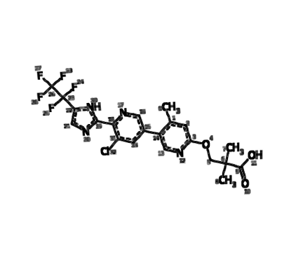 Cc1cc(OCC(C)(C)C(=O)O)ncc1-c1cnc(-c2ncc(C(F)(F)C(F)(F)F)[nH]2)c(Cl)c1